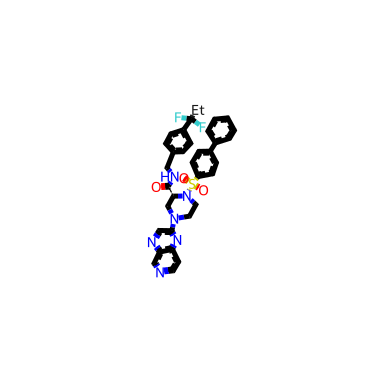 CCC(F)(F)c1ccc(CNC(=O)[C@H]2CN(c3cnc4cnccc4n3)CCN2S(=O)(=O)c2ccc(-c3ccccc3)cc2)cc1